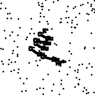 CC(C)(C)[O-].CC(C)(C)[O-].CC(C)(C)[O-].CC(C)(C)[O-].CC(C)(C)[O-].[Hf+4].[K+]